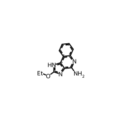 CCOc1nc2c(N)nc3ccccc3c2[nH]1